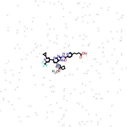 COCC1(CN(C)c2cc(-c3cc(C4CC4)nc(C(F)(F)F)c3)nc3nc(NC(=O)c4ccc(CCCC(=O)O)cn4)[nH]c23)CCC1